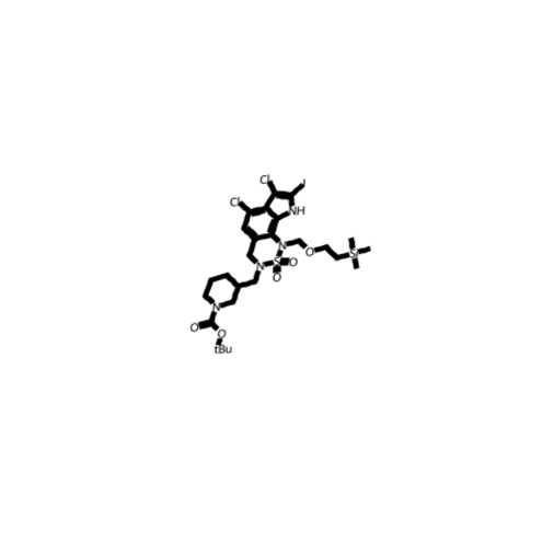 CC(C)(C)OC(=O)N1CCCC(CN2Cc3cc(Cl)c4c(Cl)c(I)[nH]c4c3N(COCC[Si](C)(C)C)S2(=O)=O)C1